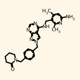 Cc1cc(N)nc(C)c1CNc1ncnc2nn(Cc3ccc(CN4CCCCC4=O)cc3)cc12